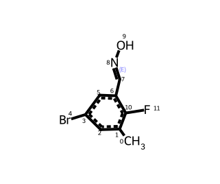 Cc1cc(Br)cc(/C=N/O)c1F